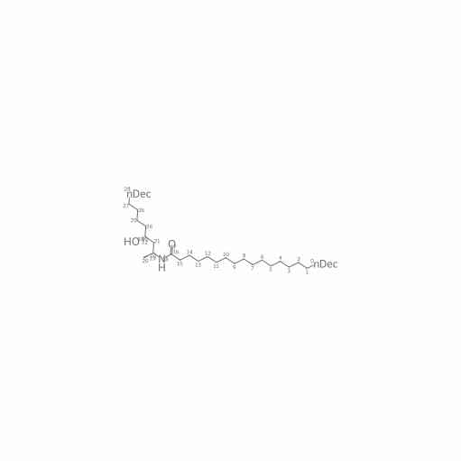 CCCCCCCCCCCCCCCCCCCCCCCCCC(=O)N[C@@H](C)C[C@H](O)CCCCCCCCCCCCCC